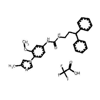 COc1cc(NC(=O)NCCC(c2ccccc2)c2ccccc2)ccc1-n1cnc(C)c1.O=C(O)C(F)(F)F